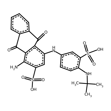 CC(C)(C)Nc1ccc(Nc2cc(S(=O)(=O)O)c(N)c3c2C(=O)c2ccccc2C3=O)cc1S(=O)(=O)O